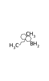 BC1CCC2(C)CCCCC2(CCCC)C1